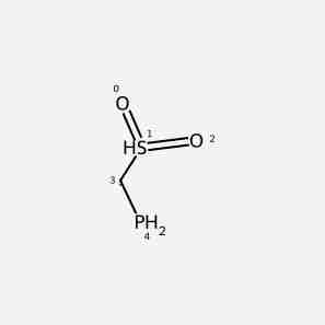 O=[SH](=O)[CH]P